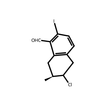 C[C@H]1Cc2c(ccc(I)c2C=O)CC1Cl